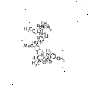 COc1cc2c(cc1Nc1ncc(Cl)c(Nc3ccc(C)cc3S(=O)(=O)N(C)C)n1)CCN(C(OS(=O)(=O)c1cc(C)ccc1N)C(=O)N(C)C)CC2